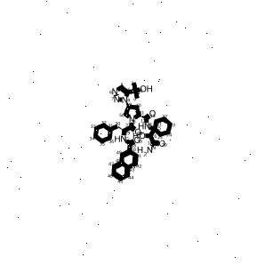 CC(C)(O)c1cnnn1[C@H]1C[C@@H](C(=O)NC2(C(O)C(N)=O)CCCCC2)N(C(=O)[C@@H](CC2CCCCC2)NC(=O)c2ccc3ccccc3c2)C1